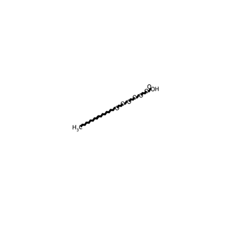 CCCCCCCCC=CCCCCCCCCOCCOCCOCCOCCOCCOCC(=O)O